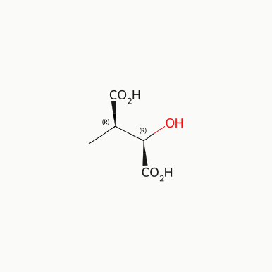 C[C@@H](C(=O)O)[C@@H](O)C(=O)O